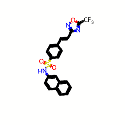 O=S(=O)(Nc1ccc2ccccc2c1)c1ccc(C=Cc2noc(C(F)(F)F)n2)cc1